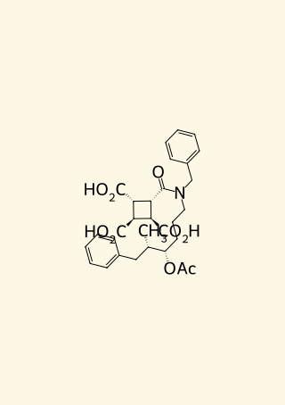 CC(=O)O[C@@H](CCCN(Cc1ccccc1)C(=O)[C@H]1[C@@H](C(=O)O)[C@H](C(=O)O)[C@@H]1C(=O)O)[C@@H](C)Cc1ccccc1